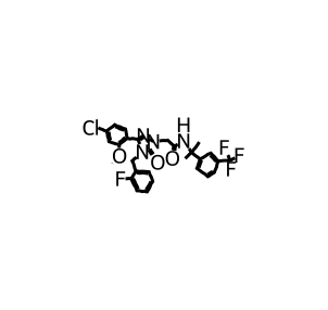 COc1cc(Cl)ccc1-c1nn(CC(=O)NC(C)(C)c2cccc(C(F)(F)F)c2)c(=O)n1Cc1ccccc1F